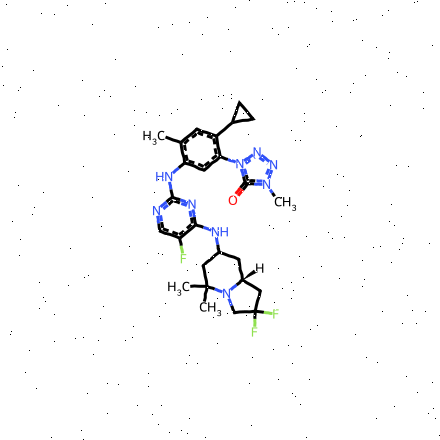 Cc1cc(C2CC2)c(-n2nnn(C)c2=O)cc1Nc1ncc(F)c(NC2C[C@@H]3CC(F)(F)CN3C(C)(C)C2)n1